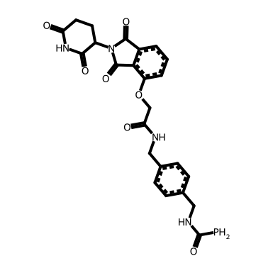 O=C(P)NCc1ccc(CNC(=O)COc2cccc3c2C(=O)N(C2CCC(=O)NC2=O)C3=O)cc1